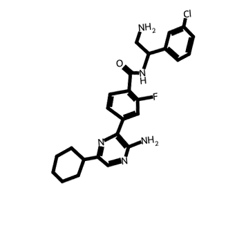 NCC(NC(=O)c1ccc(-c2nc(C3CCCCC3)cnc2N)cc1F)c1cccc(Cl)c1